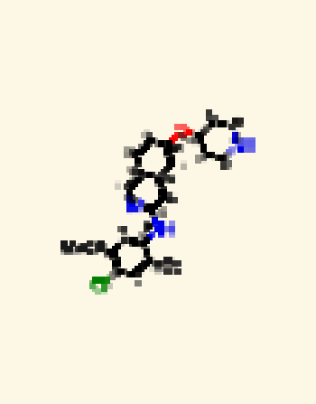 CCc1cc(Cl)c(OC)cc1Nc1cc2cc(OC3CCNCC3)ccc2cn1